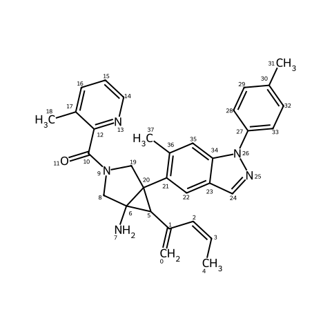 C=C(/C=C\C)C1C2(N)CN(C(=O)c3ncccc3C)CC12c1cc2cnn(-c3ccc(C)cc3)c2cc1C